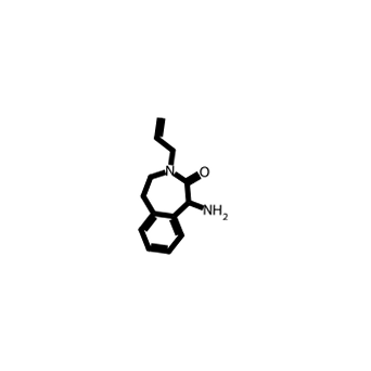 C=CCN1CCc2ccccc2C(N)C1=O